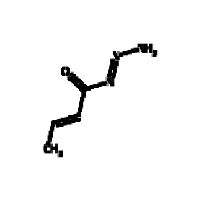 C/C=C/C(=O)N=NN